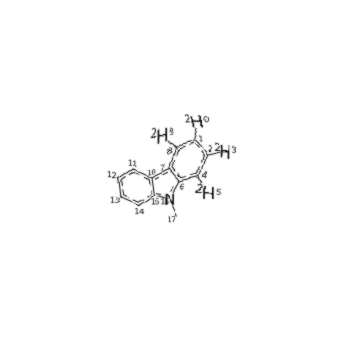 [2H]c1c([2H])c([2H])c2c(c1[2H])c1ccccc1n2C